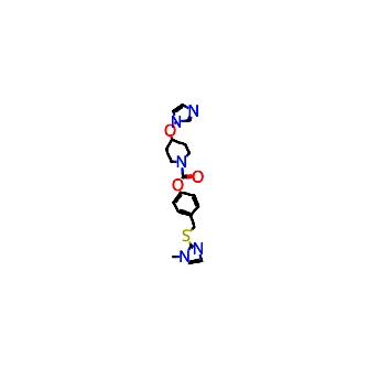 Cn1ccnc1SCc1ccc(OC(=O)N2CCC(On3ccnc3)CC2)cc1